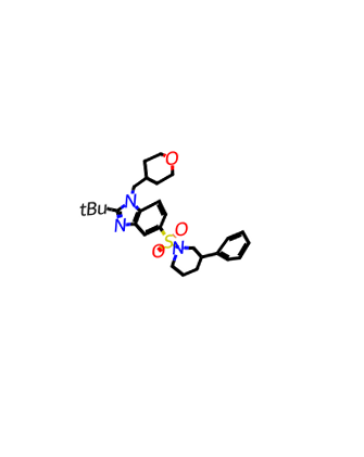 CC(C)(C)c1nc2cc(S(=O)(=O)N3CCCC(c4ccccc4)C3)ccc2n1CC1CCOCC1